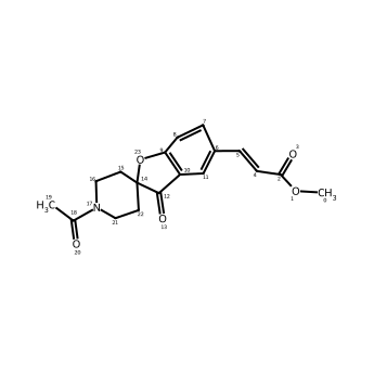 COC(=O)C=Cc1ccc2c(c1)C(=O)C1(CCN(C(C)=O)CC1)O2